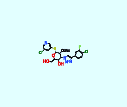 COC1C(n2cc(-c3ccc(Cl)c(F)c3)nn2)[C@@H](O)C(CO)O[C@@H]1Sc1cncc(Cl)c1